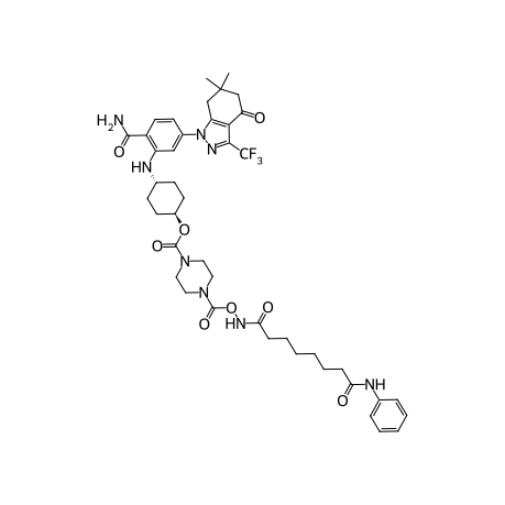 CC1(C)CC(=O)c2c(C(F)(F)F)nn(-c3ccc(C(N)=O)c(N[C@H]4CC[C@H](OC(=O)N5CCN(C(=O)ONC(=O)CCCCCCC(=O)Nc6ccccc6)CC5)CC4)c3)c2C1